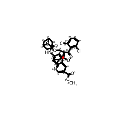 COC(=O)c1cnc2cc(NC(=O)N3C4CC(OCc5c(-c6c(Cl)cccc6Cl)noc5C5CC5)CC3C4)ccc2c1